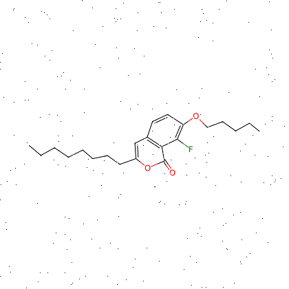 CCCCCCCCc1cc2ccc(OCCCCC)c(F)c2c(=O)o1